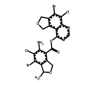 CC1OCc2c(C(=O)Oc3ncnc4c(Cl)c(Br)c5c(c34)COC5)c(N)c(Cl)c(Br)c21